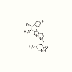 CC[C@@H](c1ccc(F)cc1)[C@H](N)c1cn2nc(C[C@H]3C[C@@H](C(F)(F)F)CNC3=O)ccc2n1